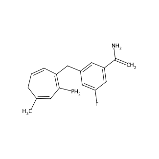 C=C(N)c1cc(F)cc(CC2=C(P)C=C(C)CC=C2)c1